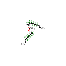 C[Si](C)(OC([SiH3])O[Si](C)(C)C(F)(F)C(F)(F)C(F)(F)C(F)(F)C(F)(F)CCC(F)(F)F)C(F)(F)C(F)(F)C(F)(F)C(F)(F)C(F)(F)CCC(F)(F)F